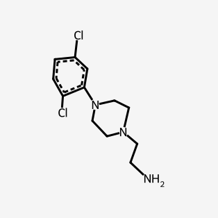 NCCN1CCN(c2cc(Cl)ccc2Cl)CC1